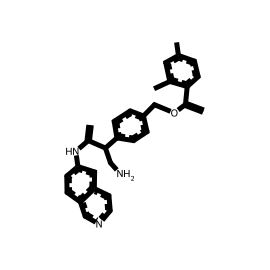 C=C(OCc1ccc(C(CN)C(=C)Nc2ccc3cnccc3c2)cc1)c1ccc(C)cc1C